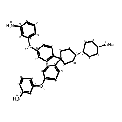 CCCCCCCCC[C@H]1CC[C@H](C2CCC(c3ccc(Oc4cccc(N)c4)cc3)(c3ccc(Oc4cccc(N)c4)cc3)CC2)CC1